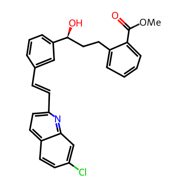 COC(=O)c1ccccc1CC[C@H](O)c1cccc(/C=C/c2ccc3ccc(Cl)cc3n2)c1